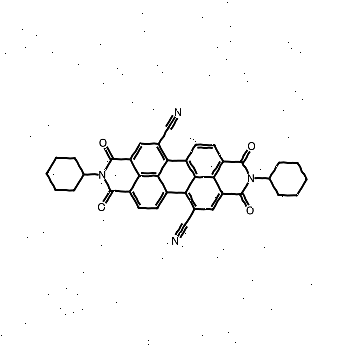 N#Cc1cc2c3c(ccc4c5c(C#N)cc6c7c(ccc(c1c34)c75)C(=O)N(C1CCCCC1)C6=O)C(=O)N(C1CCCCC1)C2=O